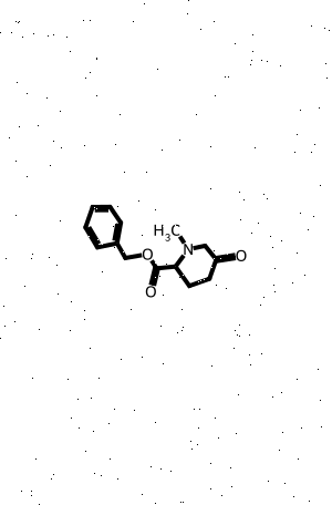 CN1CC(=O)CCC1C(=O)OCc1ccccc1